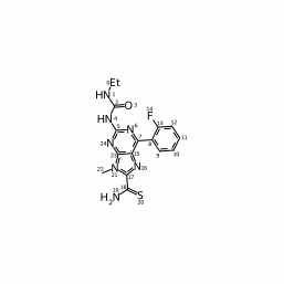 CCNC(=O)Nc1nc(-c2ccccc2F)c2nc(C(N)=S)n(C)c2n1